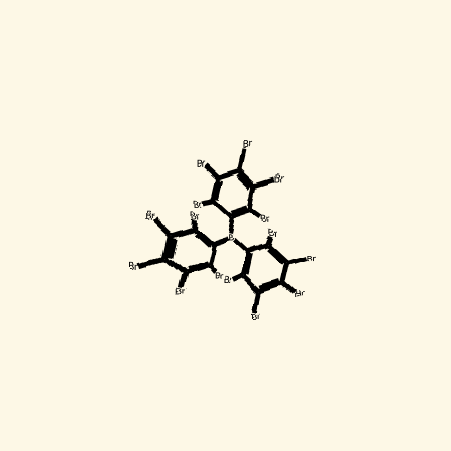 Brc1c(Br)c(Br)c(B(c2c(Br)c(Br)c(Br)c(Br)c2Br)c2c(Br)c(Br)c(Br)c(Br)c2Br)c(Br)c1Br